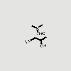 CC(O)CN.CN(C)C=O